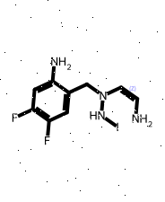 N/C=C\N(Cc1cc(F)c(F)cc1N)NI